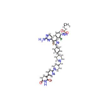 CCCS(=O)(=O)Nc1cccc(-c2nc(-c3ccc(C4CCN(CC5CCN(c6ccc([C@@H]7CCC(=O)NC7=O)cn6)CC5)CC4)cc3)sc2-c2ccnc(N)n2)c1F